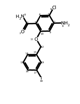 NC(=O)c1cc(Cl)c(N)cc1OCc1cccc(I)c1